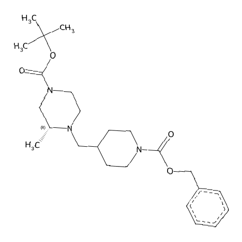 C[C@@H]1CN(C(=O)OC(C)(C)C)CCN1CC1CCN(C(=O)OCc2ccccc2)CC1